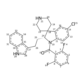 O=C(c1c(F)cccc1F)N1c2ccc(Cl)cc2C2(CCNCC2)[C@H]1CCc1c[nH]c2ccccc12